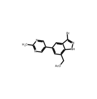 CC(=O)OCc1cc(-c2cnc(C)nc2)cc2c(C(C)=O)n[nH]c12